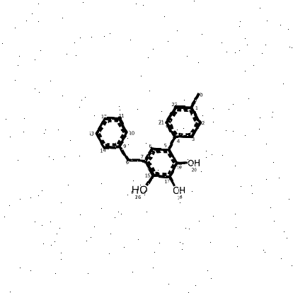 Cc1ccc(-c2cc(Cc3ccccc3)c(O)c(O)c2O)cc1